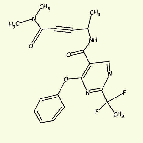 CC(C#CC(=O)N(C)C)NC(=O)c1cnc(C(C)(F)F)nc1Oc1ccccc1